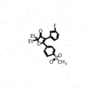 CCC1(CC)OC(c2ccc(S(C)(=O)=O)cc2)=C(c2cccc(F)c2)C1=O